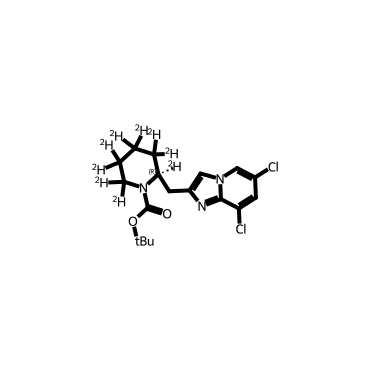 [2H]C1([2H])N(C(=O)OC(C)(C)C)[C@]([2H])(Cc2cn3cc(Cl)cc(Cl)c3n2)C([2H])([2H])C([2H])([2H])C1([2H])[2H]